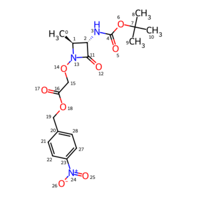 C[C@H]1[C@H](NC(=O)OC(C)(C)C)C(=O)N1OCC(=O)OCc1ccc([N+](=O)[O-])cc1